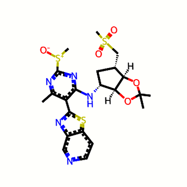 Cc1nc([S+](C)[O-])nc(N[C@@H]2C[C@H](CS(C)(=O)=O)[C@H]3OC(C)(C)O[C@H]32)c1-c1nc2cnccc2s1